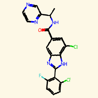 CC(NC(=O)c1cc(Cl)c2[nH]c(-c3c(F)cccc3Cl)nc2c1)c1cnccn1